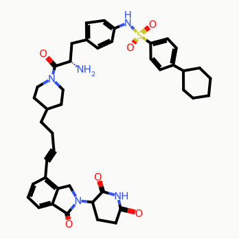 N[C@@H](Cc1ccc(NS(=O)(=O)c2ccc(C3CCCCC3)cc2)cc1)C(=O)N1CCC(CCC#Cc2cccc3c2CN(C2CCC(=O)NC2=O)C3=O)CC1